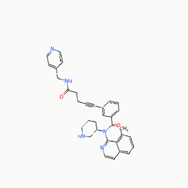 Cc1cccc2ccnc(N(C(=O)c3cccc(C#CCCC(=O)NCc4ccncc4)c3)[C@@H]3CCCNC3)c12